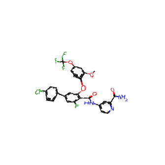 COc1cc(OC(F)(F)F)ccc1Oc1cc(-c2ccc(Cl)cc2)cc(F)c1C(=O)Nc1ccnc(C(N)=O)c1